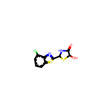 O=C1NC(c2nc3c(Cl)cccc3s2)SC1O